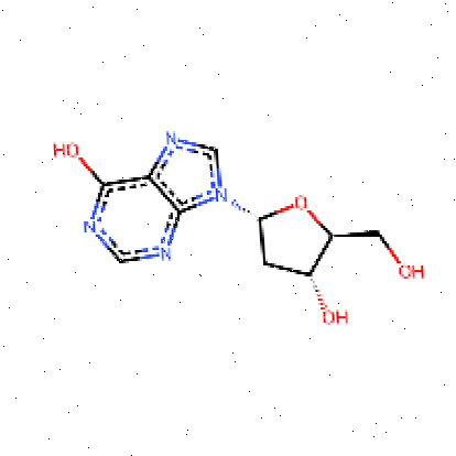 OC[C@@H]1O[C@@H](n2cnc3c(O)ncnc32)C[C@H]1O